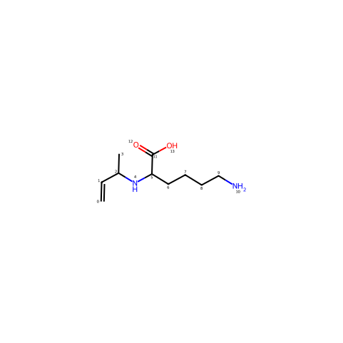 C=CC(C)NC(CCCCN)C(=O)O